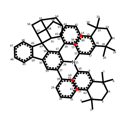 CC1(C)CCC(C)(C)c2cc(N(c3ccc4c(c3)C(C)(C)CCC4(C)C)c3c(-c4ccccc4)cc4c(c3-c3ccccc3)C3(c5ccccc5-4)C4CC5CC6CC3C64C5)ccc21